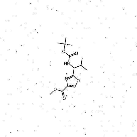 COC(=O)c1coc(C(NC(=O)OC(C)(C)C)C(C)C)n1